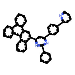 c1ccc(-c2nc(-c3ccc(-c4ccccn4)cc3)cc(-c3cc4c5ccccc5c5ccccc5c4c4ccccc34)n2)cc1